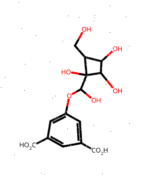 O=C(O)c1cc(OC(O)C2(O)C(O)C(O)C2CO)cc(C(=O)O)c1